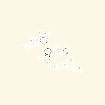 COc1ncc(-c2cc(NC(=O)c3csc(CN4C[C@@H](C)O[C@@H](C)C4)n3)c3cn[nH]c3c2)cc1NS(C)(=O)=O